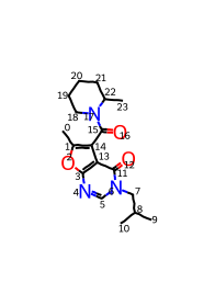 Cc1oc2ncn(CC(C)C)c(=O)c2c1C(=O)N1CCCCC1C